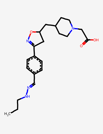 CCCNN=Cc1ccc(C2=NOC(CC3CCN(CC(=O)O)CC3)C2)cc1